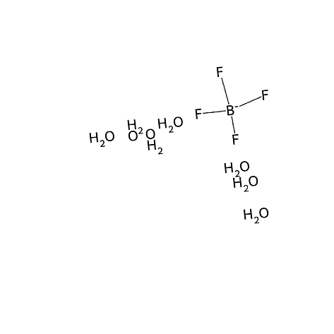 F[B-](F)(F)F.O.O.O.O.O.O.O